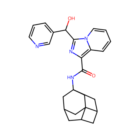 O=C(NC12CC3CC4CC(C1)C4(C3)C2)c1nc(C(O)c2cccnc2)n2ccccc12